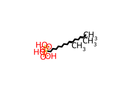 CC(C)=CCC/C(C)=C/CCCCCCCC(P(=O)(O)O)S(=O)(=O)O